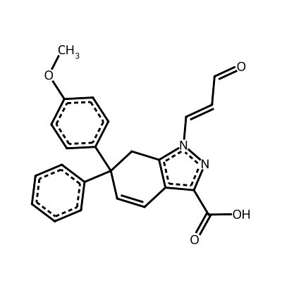 COc1ccc(C2(c3ccccc3)C=Cc3c(C(=O)O)nn(C=CC=O)c3C2)cc1